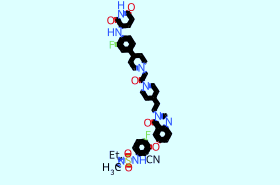 CCN(C)S(=O)(=O)Nc1ccc(F)c(Oc2ccc3ncn(CCC4CCN(C(=O)CN5CCC(c6ccc(NC7CCC(=O)NC7=O)c(F)c6)CC5)CC4)c(=O)c3c2)c1C#N